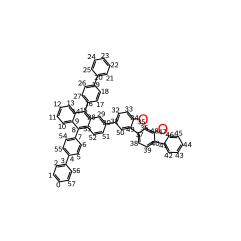 c1ccc(-c2ccc(-c3c4ccccc4c(-c4ccc(-c5ccccc5)cc4)c4cc(-c5ccc6oc7c(ccc8c9ccccc9oc87)c6c5)ccc34)cc2)cc1